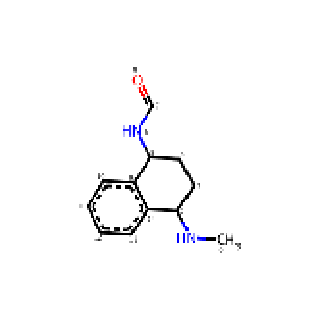 CNC1CCC(NC=O)c2ccccc21